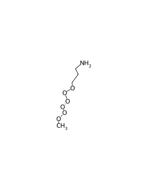 COOOOOOCCCN